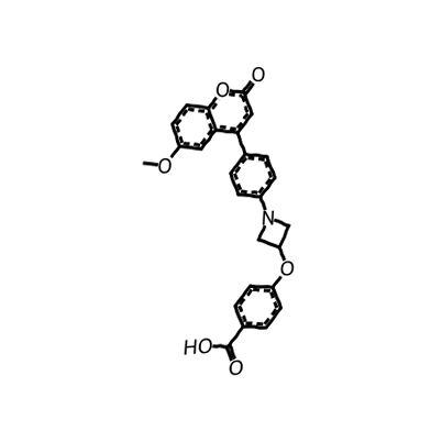 COc1ccc2oc(=O)cc(-c3ccc(N4CC(Oc5ccc(C(=O)O)cc5)C4)cc3)c2c1